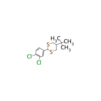 CC(C)(C)C1CSC(c2ccc(Cl)c(Cl)c2)SC1